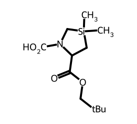 CC(C)(C)COC(=O)C1C[Si](C)(C)CN1C(=O)O